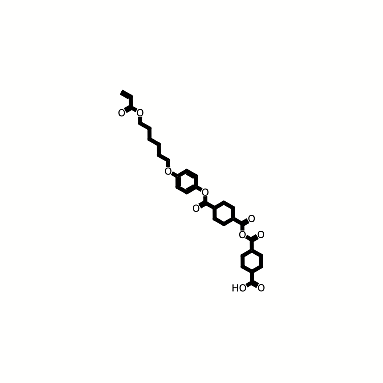 C=CC(=O)OCCCCCCOc1ccc(OC(=O)C2CCC(C(=O)OC(=O)C3CCC(C(=O)O)CC3)CC2)cc1